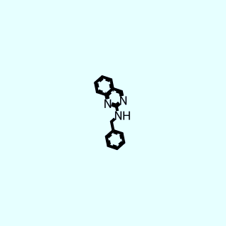 c1ccc(CNc2ncc3ccccc3n2)cc1